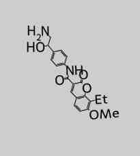 CCc1c(OC)ccc2cc(C(=O)Nc3ccc(C(O)CN)cc3)c(=O)oc12